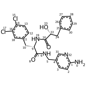 Nc1ccc(CNC(=O)[C@H](Cc2ccc(Cl)c(Cl)c2)NC(=O)[C@H](O)Cc2ccccc2)cn1